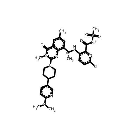 Cc1cc([C@@H](C)Nc2ccc(Cl)nc2C(=O)NS(C)(=O)=O)c2nc(N3CCC(c4ccc(N(C)C)nc4)CC3)n(C)c(=O)c2c1